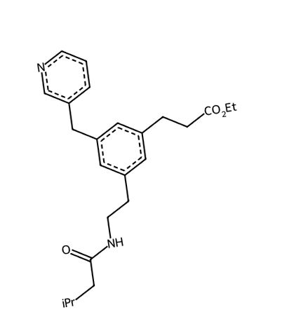 CCOC(=O)CCc1cc(CCNC(=O)CC(C)C)cc(Cc2cccnc2)c1